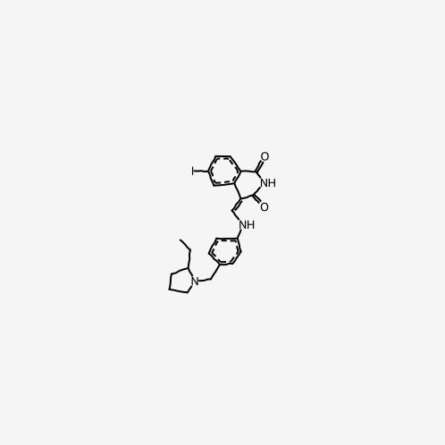 CCC1CCCN1Cc1ccc(NC=C2C(=O)NC(=O)c3ccc(I)cc32)cc1